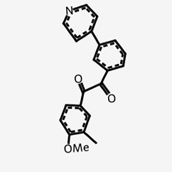 COc1ccc(C(=O)C(=O)c2cccc(-c3ccncc3)c2)cc1C